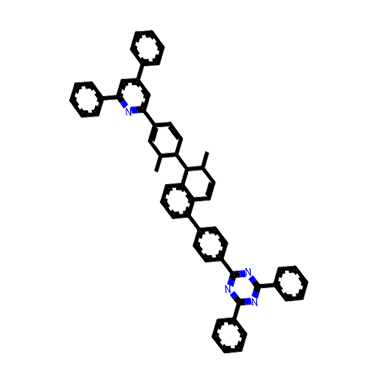 CC1C=C(c2cc(-c3ccccc3)cc(-c3ccccc3)n2)C=CC1C1c2cccc(-c3ccc(-c4nc(-c5ccccc5)nc(-c5ccccc5)n4)cc3)c2C=CC1C